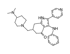 CN(C)C1CCN(CC2CC(=O)c3c([nH]c(-c4ccncc4)c3Nc3ccccc3)C2)CC1